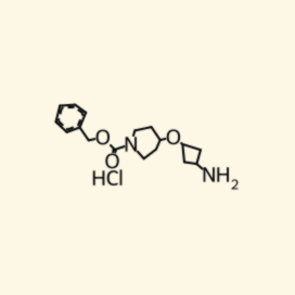 Cl.NC1CC(OC2CCN(C(=O)OCc3ccccc3)CC2)C1